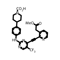 COC(=O)Cc1cccnc1C#Cc1nc(Nc2ccc(C3CCN(C(=O)O)CC3)cc2)ncc1C(F)(F)F